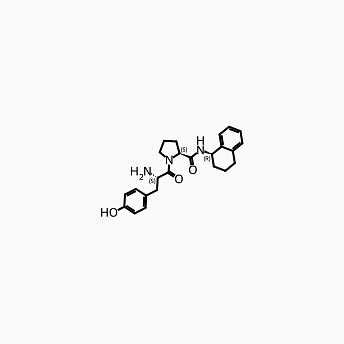 N[C@@H](Cc1ccc(O)cc1)C(=O)N1CCC[C@H]1C(=O)N[C@@H]1CCCc2ccccc21